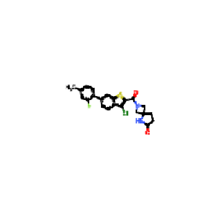 Cc1ccc(-c2ccc3c(Cl)c(C(=O)N4CC5(CCC(=O)N5)C4)sc3c2)c(F)c1